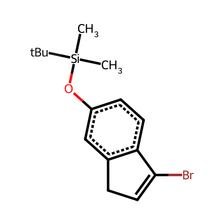 CC(C)(C)[Si](C)(C)Oc1ccc2c(c1)CC=C2Br